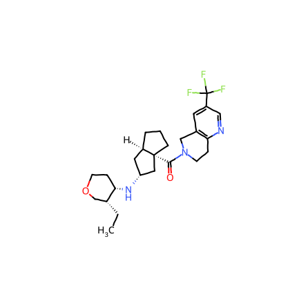 CC[C@@H]1COCC[C@@H]1N[C@@H]1C[C@H]2CCC[C@@]2(C(=O)N2CCc3ncc(C(F)(F)F)cc3C2)C1